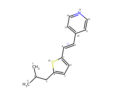 CC(C)Cc1ccc(/C=C/c2ccncc2)s1